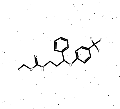 CCOC(=O)NCCC(Oc1ccc(C(F)(F)F)cc1)c1ccccc1